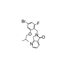 CC(C)COc1cc(Br)cc(F)c1CN1Cc2ncccc2C1=O